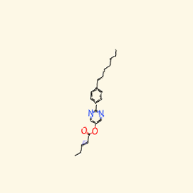 CC/C=C/C(=O)Oc1cnc(-c2ccc(CCCCCCC)cc2)nc1